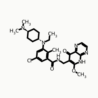 CCN(c1cc(Cl)cc(C(=O)NCc2c(OC)[nH]c3nccnc3c2=O)c1C)[C@H]1CC[C@H](N(C)C)CC1